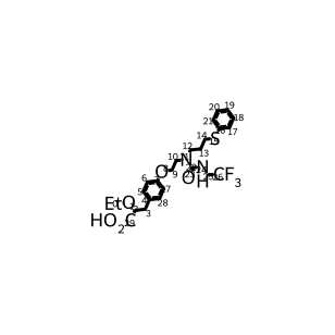 CCOC(Cc1ccc(OCCN(CCCSc2ccccc2)C(=O)NCC(F)(F)F)cc1)C(=O)O